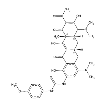 COc1ccc(NC(=O)Nc2cc(N(C)C)c3c(c2O)C(=O)C2=C(O)[C@]4(C)C(=O)C(C(N)=O)=C(O)C(N(C)C)[C@@H]4C[C@@H]2C3)cc1